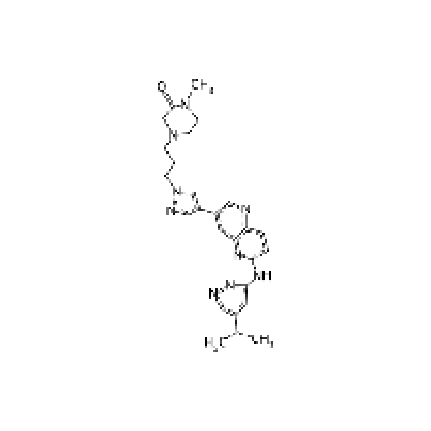 CC(C)c1cnnc(Nc2ccc3ncc(-c4cnn(CCCN5CCN(C)C(=O)C5)c4)cc3n2)c1